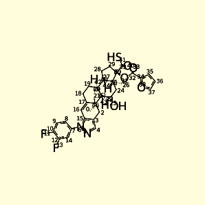 C[C@]12Cc3cnn(-c4ccc(F)c(F)c4)c3C=C1CC[C@@H]1[C@@H]2[C@@H](O)C[C@@]2(C)[C@H]1CC[C@]2(OC(=O)c1ccco1)C(=O)S